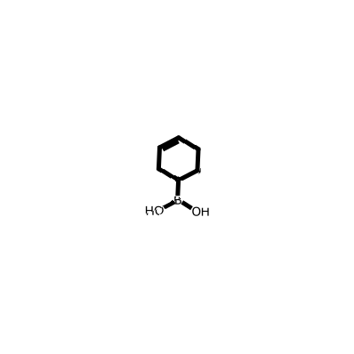 OB(O)C1CC=CCC1